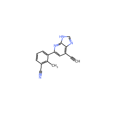 C#Cc1cc(-c2cccc(C#N)c2C)nc2[nH]cnc12